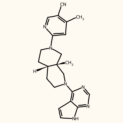 Cc1cc(N2CC[C@H]3CCN(c4ncnc5[nH]ccc45)C[C@@]3(C)C2)ncc1C#N